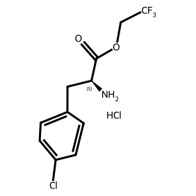 Cl.N[C@@H](Cc1ccc(Cl)cc1)C(=O)OCC(F)(F)F